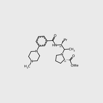 COC(=O)[C@@H]1CCCN1C(C)[C@@H](NC(=O)c1cccc(N2CCN(C)CC2)c1)C(C)C